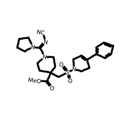 COC(=O)C1(CS(=O)(=O)N2CC=C(c3ccccc3)CC2)CCN(C(=NC#N)N2CCCC2)CC1